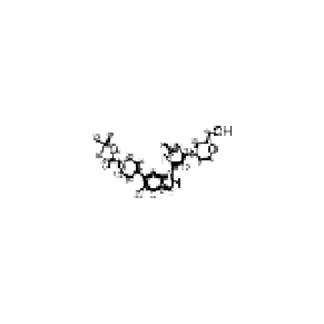 Cc1nc(N2CCOC(CO)C2)cc(-n2ncc3cc(C)c(C4CCN(C(=O)OC(C)(C)C)CC4)cc32)n1